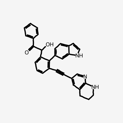 O=C(c1ccccc1)C(O)c1cccc(C#Cc2cnc3c(c2)CCCN3)c1-c1ccc2cc[nH]c2c1